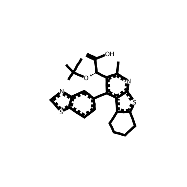 C=C(O)[C@@H](OC(C)(C)C)c1c(C)nc2sc3c(c2c1-c1ccc2scnc2c1)CCCC3